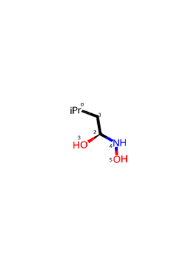 CC(C)C[C@H](O)NO